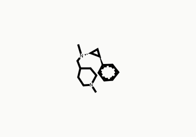 CN1CCC(CN(C)[C@@H]2C[C@H]2c2ccccc2)CC1